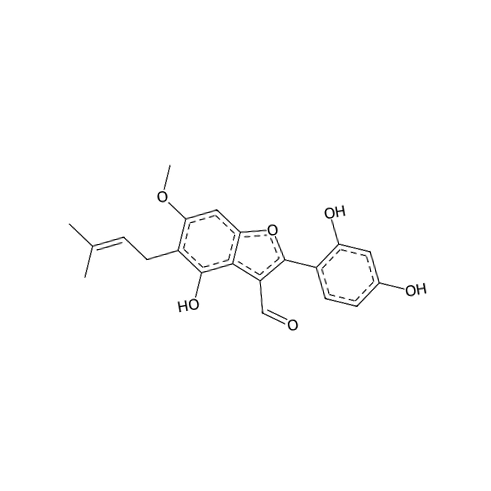 COc1cc2oc(-c3ccc(O)cc3O)c(C=O)c2c(O)c1CC=C(C)C